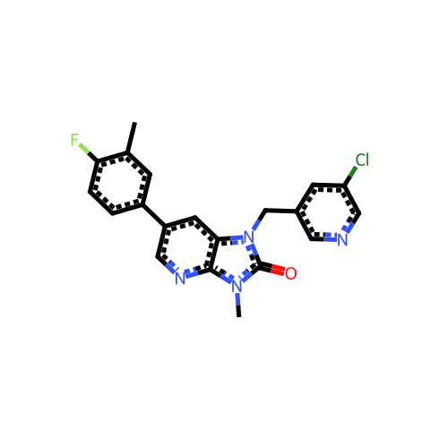 Cc1cc(-c2cnc3c(c2)n(Cc2cncc(Cl)c2)c(=O)n3C)ccc1F